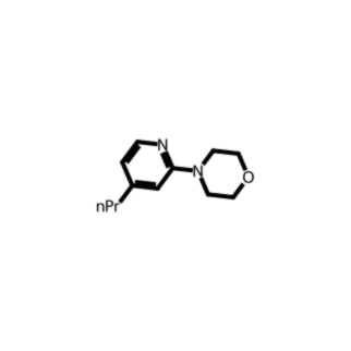 CCCc1ccnc(N2CCOCC2)c1